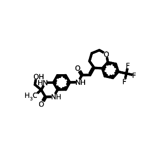 CC1(CO)Nc2ccc(NC(=O)/C=C3\CCCOc4cc(C(F)(F)F)ccc43)cc2NC1=O